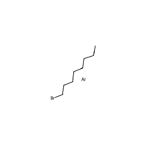 CCCCCCCCBr.[Ar]